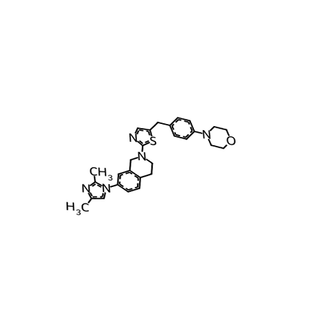 Cc1cn(-c2ccc3c(c2)CN(c2ncc(Cc4ccc(N5CCOCC5)cc4)s2)CC3)c(C)n1